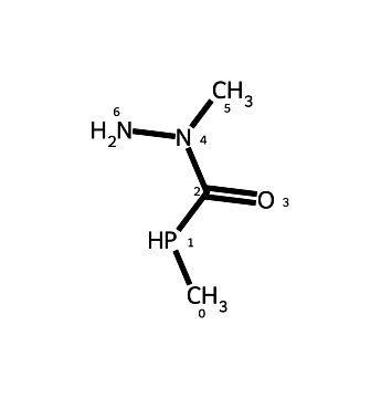 CPC(=O)N(C)N